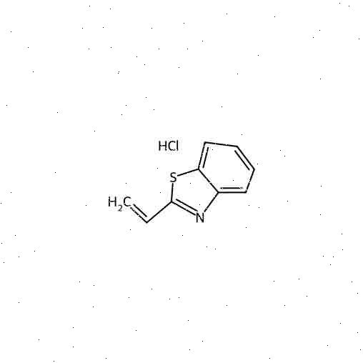 C=Cc1nc2ccccc2s1.Cl